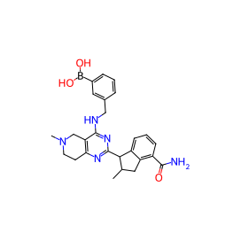 CC1Cc2c(C(N)=O)cccc2C1c1nc2c(c(NCc3cccc(B(O)O)c3)n1)CN(C)CC2